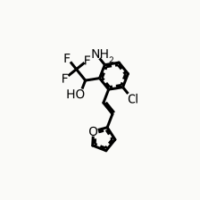 Nc1ccc(Cl)c(/C=C/c2ccco2)c1C(O)C(F)(F)F